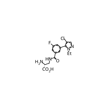 CCn1ncc(Cl)c1-c1cc(F)cc(C(=O)NC[C@@H](N)C(=O)O)c1